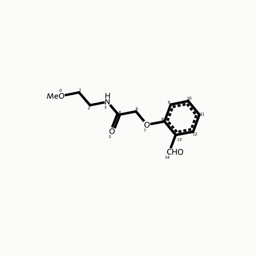 COCCNC(=O)COc1ccccc1C=O